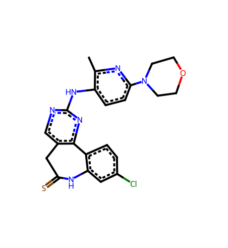 Cc1nc(N2CCOCC2)ccc1Nc1ncc2c(n1)-c1ccc(Cl)cc1NC(=S)C2